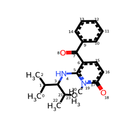 CC(C)C(Nc1c(C(=O)c2ccccc2)ccc(=O)n1C)C(C)C